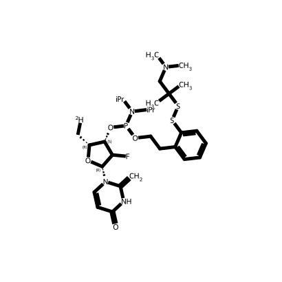 [2H]C[C@H]1O[C@@H](N2C=CC(=O)NC2=C)C(F)[C@H]1OP(OCCc1ccccc1SSC(C)(C)CN(C)C)N(C(C)C)C(C)C